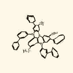 Cc1cc2c3c(c1)N(c1cccc(-c4ccccc4)c1)c1cc(-c4ccccc4)c(C(C)(C)C)cc1B3c1cc(C(C)(C)C)c(-c3ccccc3)cc1N2c1cccc(-c2ccccc2)c1